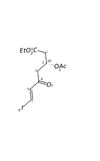 CCOC(=O)C[C@@H](CC(=O)C=CI)OC(C)=O